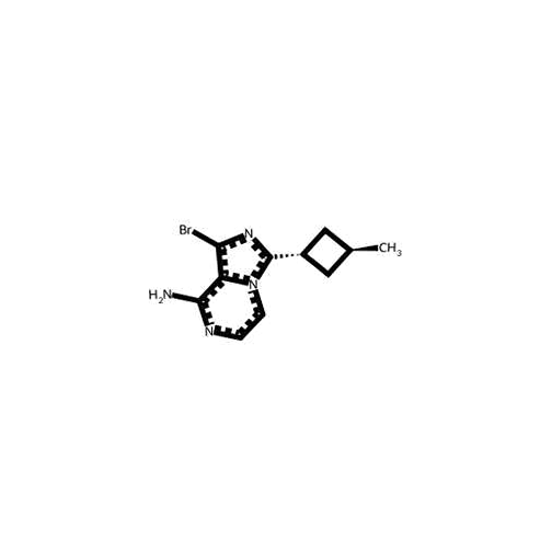 C[C@H]1C[C@H](c2nc(Br)c3c(N)nccn32)C1